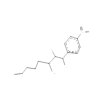 CCCCCC(O)C(N)C(O)c1ccc([N+](=O)[O-])cc1